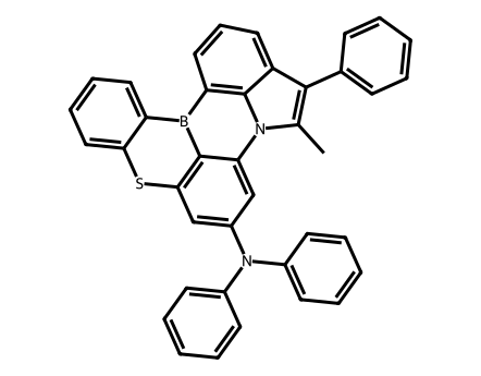 Cc1c(-c2ccccc2)c2cccc3c2n1-c1cc(N(c2ccccc2)c2ccccc2)cc2c1B3c1ccccc1S2